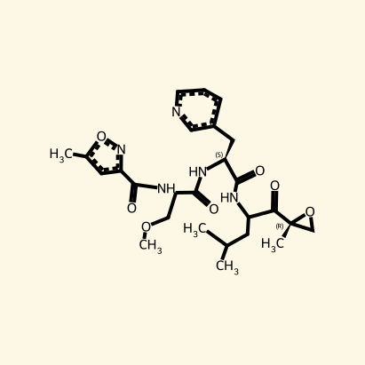 COCC(NC(=O)c1cc(C)on1)C(=O)N[C@@H](Cc1cccnc1)C(=O)NC(CC(C)C)C(=O)[C@@]1(C)CO1